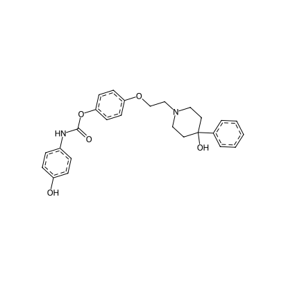 O=C(Nc1ccc(O)cc1)Oc1ccc(OCCN2CCC(O)(c3ccccc3)CC2)cc1